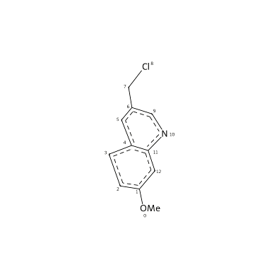 COc1ccc2cc(CCl)cnc2c1